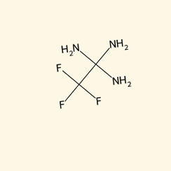 NC(N)(N)C(F)(F)F